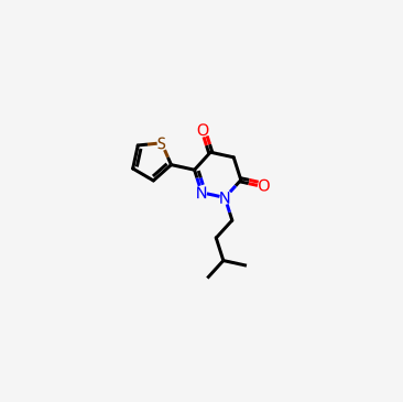 CC(C)CCN1N=C(c2cccs2)C(=O)CC1=O